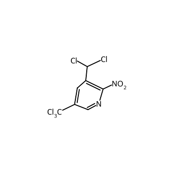 O=[N+]([O-])c1ncc(C(Cl)(Cl)Cl)cc1C(Cl)Cl